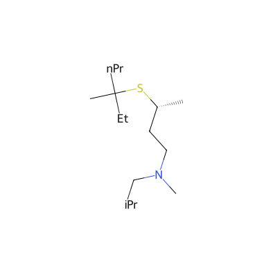 CCCC(C)(CC)S[C@H](C)CCN(C)CC(C)C